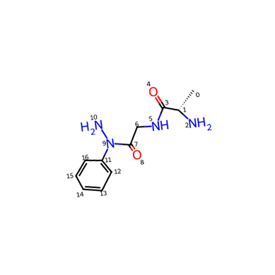 C[C@H](N)C(=O)NCC(=O)N(N)c1ccccc1